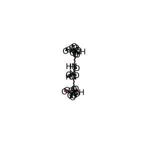 CC(=O)N[C@H]1[C@H](OCCCCCCNC(=O)CC[C@H](NC(=O)OC(C)(C)C)C(=O)NCCCCCCO[C@@H]2O[C@H](COC(C)=O)[C@H](OC(C)=O)[C@H](OC(C)=O)[C@H]2NC(C)=O)O[C@H](COC(C)=O)[C@H](OC(C)=O)[C@@H]1OC(C)=O